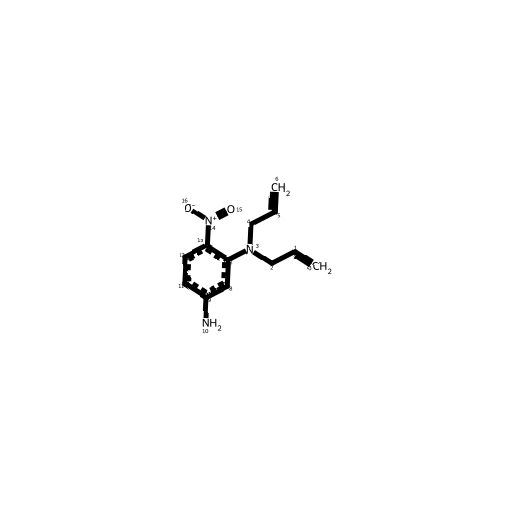 C=CCN(CC=C)c1cc(N)ccc1[N+](=O)[O-]